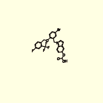 O=C(O)Oc1ccc2c(ccn2Cc2cc(Br)ccc2OCc2ccc(F)cc2C(F)(F)F)c1